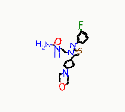 NC(=O)NCCn1c(-c2ccc(N3CCOCC3)cc2)csc1=Nc1cccc(F)c1